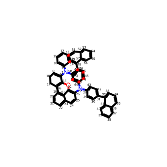 C1=C(N(c2ccccc2)c2ccccc2)C2=C(CC1)c1cccc3ccc(N(c4ccc(-c5cccc6ccccc56)cc4)c4ccc(-c5cccc6ccccc56)cc4)c(c13)O2